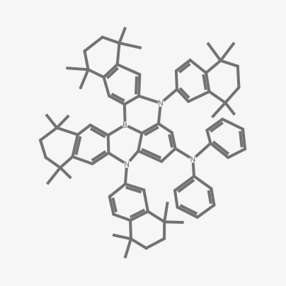 CC1(C)CCC(C)(C)c2cc(N3c4cc5c(cc4B4c6cc7c(cc6N(c6ccc8c(c6)C(C)(C)CCC8(C)C)c6cc(N(c8ccccc8)c8ccccc8)cc3c64)C(C)(C)CCC7(C)C)C(C)(C)CCC5(C)C)ccc21